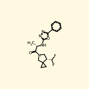 C[C@H](Nc1nnc(-c2ccccc2)o1)C(=O)N1C[C@H](C(F)F)C2(CC2)C1